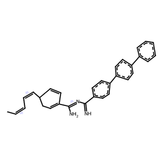 C/C=C\C=C/C1C=CC(/C(N)=N/C(=N)c2ccc(-c3ccc(-c4ccccc4)cc3)cc2)=CC1